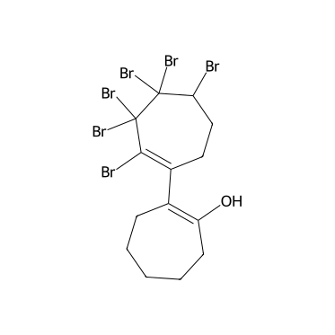 OC1=C(C2=C(Br)C(Br)(Br)C(Br)(Br)C(Br)CC2)CCCCC1